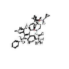 [2H]C([2H])([2H])n1c(=O)n(C2CCC(CC=C)(NC(=O)C3CC3)CC2)c2c3c(-c4ccc(C5(C=C)CC5)cc4)c(-c4cn(C)nc4OC)n(S(=O)(=O)c4ccccc4)c3ncc21